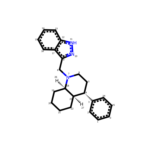 c1ccc([C@H]2CCN(Cc3n[nH]c4ccccc34)[C@@H]3CCCC[C@H]23)cc1